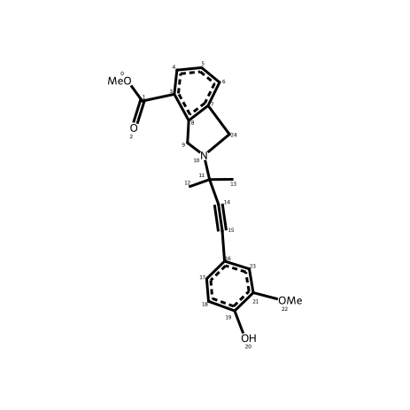 COC(=O)c1cccc2c1CN(C(C)(C)C#Cc1ccc(O)c(OC)c1)C2